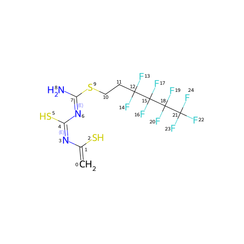 C=C(S)/N=C(S)\N=C(/N)SCCC(F)(F)C(F)(F)C(F)(F)C(F)(F)F